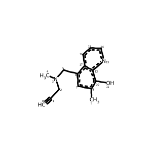 C#CCN(C)Cc1cc(C)c(O)c2ncccc12